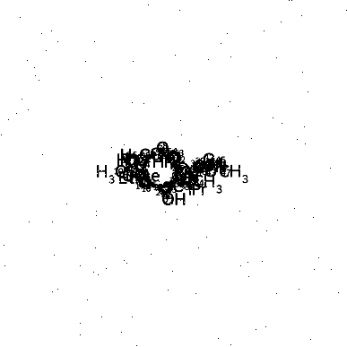 CCn1c(-c2cccnc2[C@H](C)OC)c2c3cc(ccc31)-c1cc(O)cc(c1)C[C@H](NC(=O)[C@H](C(C)C)N(C)C(=O)[C@H]1CCN(S(=O)(=O)[C@@H]3CN3C)C1)C(=O)N1CCC[C@H](N1)C(=O)OCC(C)(C)C2